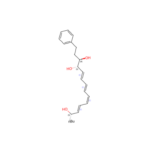 CCCC[C@H](O)/C=C/C=C\C=C\C=C\[C@H](O)[C@H](O)CCc1ccccc1